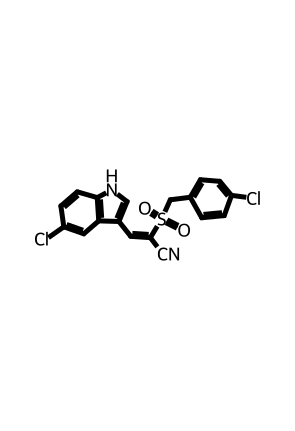 N#CC(=Cc1c[nH]c2ccc(Cl)cc12)S(=O)(=O)Cc1ccc(Cl)cc1